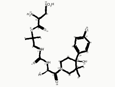 CC(C)[C@@H](NC(=O)NCC(C)(C)OC(=O)C(N)CS(=O)(=O)O)C(=O)N1CC[C@](O)(c2ccc(Cl)cc2)C(C)(C)C1